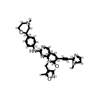 Cc1oncc1Cn1c(=O)c(C#Cc2nccn2C)cc2cnc(Nc3ccc(C4CN(C)CCO4)cc3)nc21